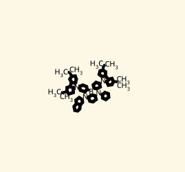 CC(C)c1ccc2c(c1)c1cc(C(C)C)ccc1n2-c1ccc2c(c1)N(c1ccccc1)c1cccc3c1B2c1ccc(-n2c4ccc(C(C)C)cc4c4cc(C(C)C)ccc42)cc1N3c1ccc2ccccc2c1